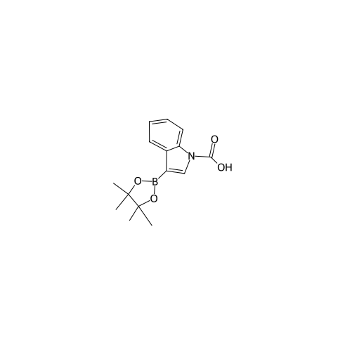 CC1(C)OB(c2cn(C(=O)O)c3ccccc23)OC1(C)C